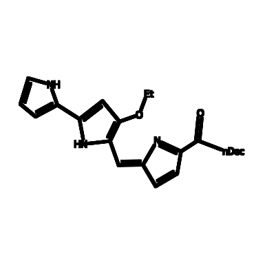 CCCCCCCCCCC(=O)C1=NC(=Cc2[nH]c(-c3ccc[nH]3)cc2OCC)C=C1